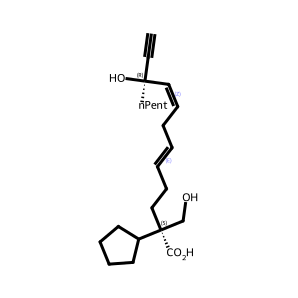 C#C[C@](O)(/C=C\C/C=C/CC[C@](CO)(C(=O)O)C1CCCC1)CCCCC